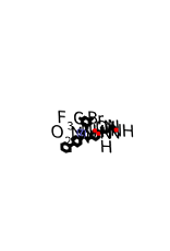 O=C(Nc1nn[nH]n1)c1ccc(CN(/C(=C\[N+](=O)[O-])Nc2cc(Br)cc(C(F)(F)F)c2)c2ccc(C3CCCCC3)cc2)cc1